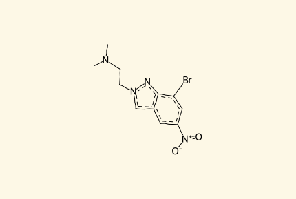 CN(C)CCn1cc2cc([N+](=O)[O-])cc(Br)c2n1